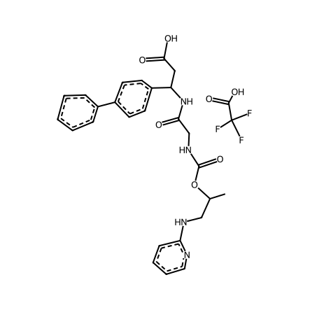 CC(CNc1ccccn1)OC(=O)NCC(=O)NC(CC(=O)O)c1ccc(-c2ccccc2)cc1.O=C(O)C(F)(F)F